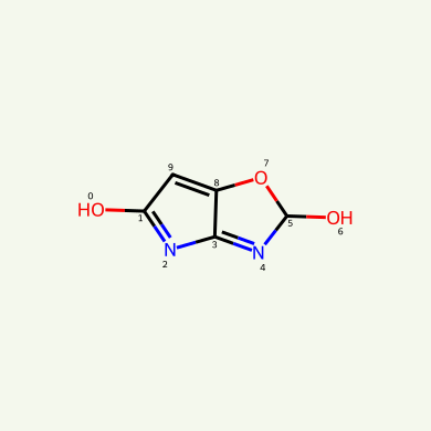 OC1=NC2=NC(O)OC2=C1